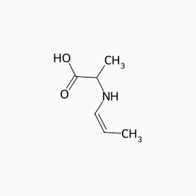 C/C=C\NC(C)C(=O)O